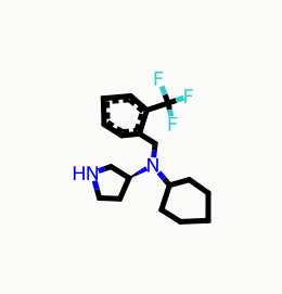 FC(F)(F)c1ccccc1CN(C1CCCCC1)[C@H]1CCNC1